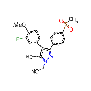 COc1ccc(-c2c(-c3ccc(S(C)(=O)=O)cc3)nn(CC#N)c2C#N)cc1F